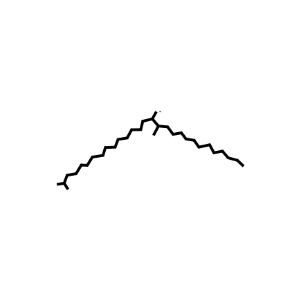 [CH2]C(CCCCCCCCCCCCCC(C)C)C(C)CCCCCCCCCCCC